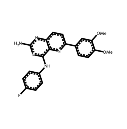 COc1ccc(-c2ccc3nc(N)nc(Nc4ccc(F)cc4)c3n2)cc1OC